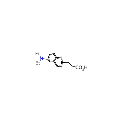 CCN(CC)c1ccc2cc(CCC(=O)O)ccc2c1